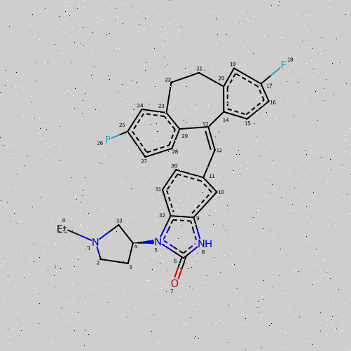 CCN1CC[C@H](n2c(=O)[nH]c3cc(C=C4c5ccc(F)cc5CCc5cc(F)ccc54)ccc32)C1